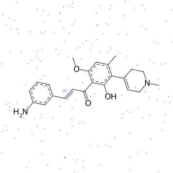 COc1cc(C)c(C2=CCN(C)CC2)c(O)c1C(=O)/C=C/c1cccc(N)c1